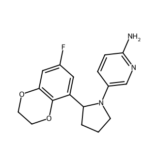 Nc1ccc(N2CCCC2c2cc(F)cc3c2OCCO3)cn1